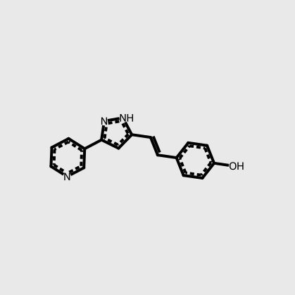 Oc1ccc(C=Cc2cc(-c3cccnc3)n[nH]2)cc1